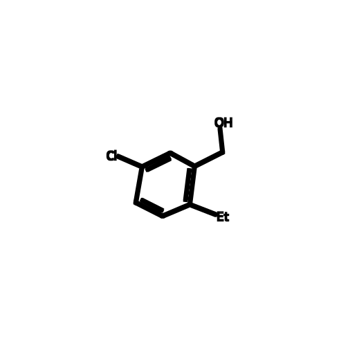 CCc1ccc(Cl)cc1CO